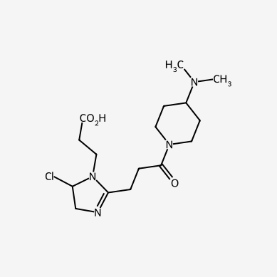 CN(C)C1CCN(C(=O)CCC2=NCC(Cl)N2CCC(=O)O)CC1